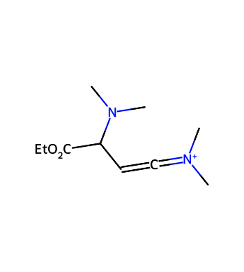 CCOC(=O)C(C=C=[N+](C)C)N(C)C